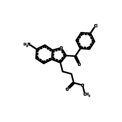 COC(=O)CCc1c(C(=O)c2ccc(Cl)cc2)oc2cc(N)ccc12